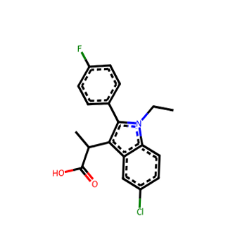 CCn1c(-c2ccc(F)cc2)c(C(C)C(=O)O)c2cc(Cl)ccc21